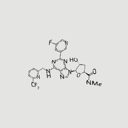 CNC(=O)[C@@H]1C[C@@H](O)[C@H](n2cnc3c(NCc4cccc(C(F)(F)F)n4)nc(-c4cncc(F)c4)nc32)O1